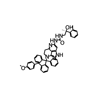 COc1ccc(Cc2ccccc2C(c2ccccc2)(c2ccccc2)N2CCc3nc(NC(=O)NC[C@@](C)(O)c4ccccc4C)cc4[nH]nc2c34)cc1